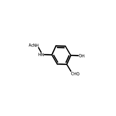 CC(=O)NNc1ccc(O)c(C=O)c1